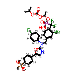 CC(C)OC(=O)OC(C)OP(=O)(O)C(F)(F)c1ccc(CN(c2ccc(F)cc2)c2ncc(-c3ccc(S(C)(=O)=O)cc3)o2)cc1Br